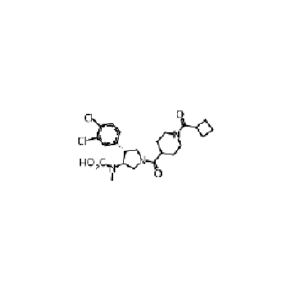 CN(C(=O)O)[C@@H]1CN(C(=O)C2CCN(C(=O)C3CCC3)CC2)C[C@H]1c1ccc(Cl)c(Cl)c1